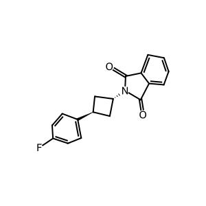 O=C1c2ccccc2C(=O)N1[C@H]1C[C@H](c2ccc(F)cc2)C1